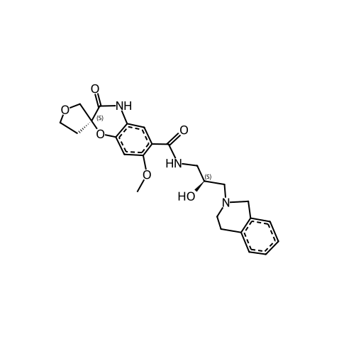 COc1cc2c(cc1C(=O)NC[C@H](O)CN1CCc3ccccc3C1)NC(=O)[C@@]1(CCOC1)O2